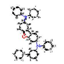 c1ccc(-c2cccc(N(c3ccccc3)c3ccc4c(c3)oc3ccc(N(c5ccccc5)c5ccccc5)cc34)c2)cc1